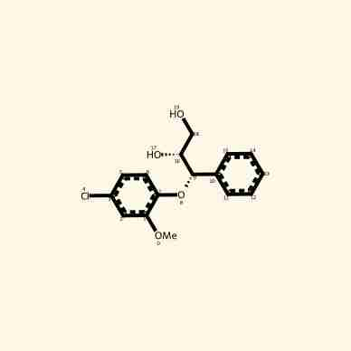 COc1cc(Cl)ccc1O[C@@H](c1ccccc1)[C@H](O)CO